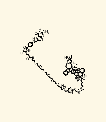 CC[C@]1(O)C[C@H]2C[C@](C(=O)OC)(c3cc4c(cc3OC)N(C)[C@H]3[C@@](O)(C(=O)NCCC[Si](C)(C)O[Si](C)(C)CSc5ncc(Cn6cc(COCCOCCOCCOCCOCCOCCNC(=O)CC[C@H](NC(=O)c7ccc(NCc8cnc9nc(N)[nH]c(=O)c9n8)cc7)C(=O)O)nn6)cn5)[C@H](O)[C@]5(CC)C=CCN6CC[C@]43[C@@H]65)c3[nH]c4ccccc4c3CCN2C1